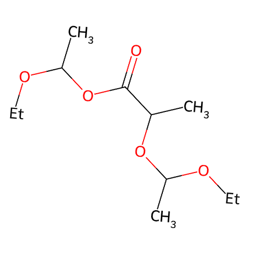 CCOC(C)OC(=O)C(C)OC(C)OCC